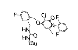 Cc1cc(OCc2ccc(F)cc2CNC(=O)NC(C)(C)C)c(Cl)c(=O)n1-c1c(F)cccc1F